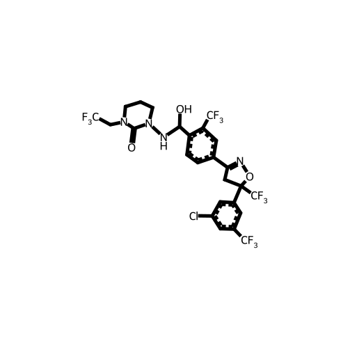 O=C1N(CC(F)(F)F)CCCN1NC(O)c1ccc(C2=NOC(c3cc(Cl)cc(C(F)(F)F)c3)(C(F)(F)F)C2)cc1C(F)(F)F